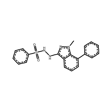 Cn1nc(NNS(=O)(=O)c2ccccc2)c2cccc(-c3ccccc3)c21